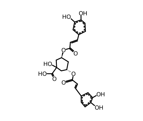 O=C(/C=C/c1ccc(O)c(O)c1)O[C@H]1C[C@H](OC(=O)/C=C/c2ccc(O)c(O)c2)CC(O)(C(=O)O)C1